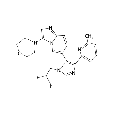 Cc1cccc(-c2ncn(CC(F)F)c2-c2ccc3ncc(N4CCOCC4)n3c2)n1